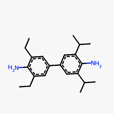 CCc1cc(-c2cc(C(C)C)c(N)c(C(C)C)c2)cc(CC)c1N